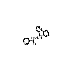 O=C(NNC1c2ccccc2-n2cccc21)c1cccnc1